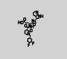 O=C(O)CC[C@@H](NC(=O)c1cccn(Cc2ccc(F)c(F)c2)c1=O)c1nc(-c2c[nH]c3ncccc23)co1